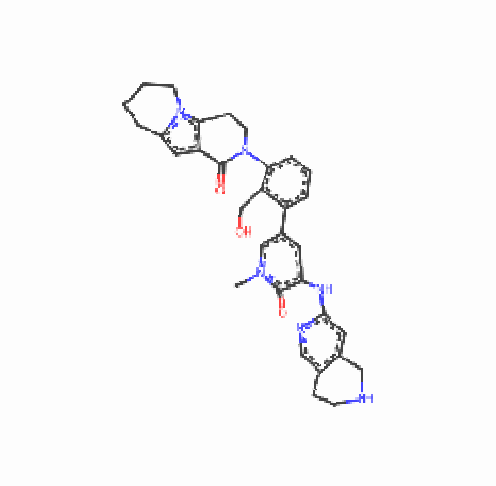 Cn1cc(-c2cccc(N3CCc4c(cc5n4CCCC5)C3=O)c2CO)cc(Nc2cc3c(cn2)CCNC3)c1=O